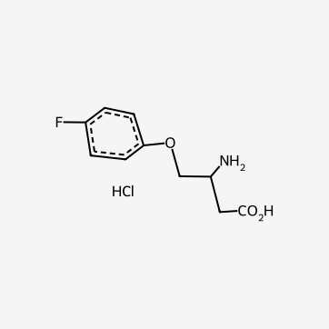 Cl.NC(COc1ccc(F)cc1)CC(=O)O